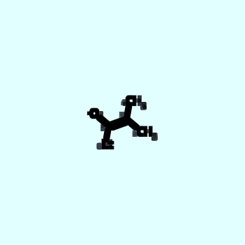 CCC([O])=C(C)C